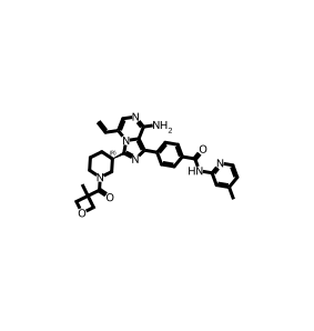 C=Cc1cnc(N)c2c(-c3ccc(C(=O)Nc4cc(C)ccn4)cc3)nc([C@@H]3CCCN(C(=O)C4(C)COC4)C3)n12